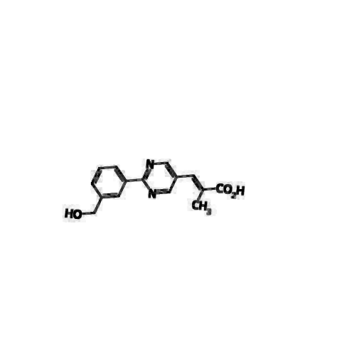 CC(=Cc1cnc(-c2cccc(CO)c2)nc1)C(=O)O